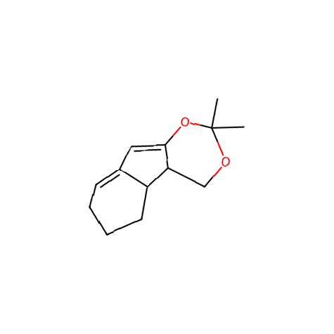 CC1(C)OCC2C(=CC3=CCCCC32)O1